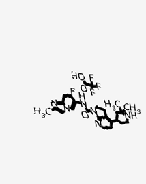 Cc1cn2cc(NC(=O)N3CCc4c(C5CCNC(C)(C)C5)ccnc43)c(F)cc2n1.O=C(O)C(F)(F)F